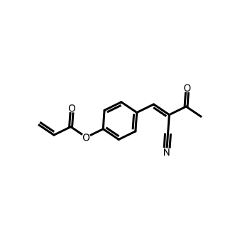 C=CC(=O)Oc1ccc(/C=C(\C#N)C(C)=O)cc1